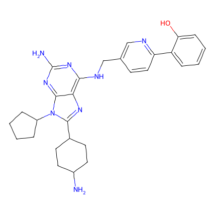 Nc1nc(NCc2ccc(-c3ccccc3O)nc2)c2nc(C3CCC(N)CC3)n(C3CCCC3)c2n1